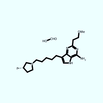 COCCc1nc(N)c2[nH]cc(CCCCCN3CC[C@H](F)C3)c2n1.O=CO